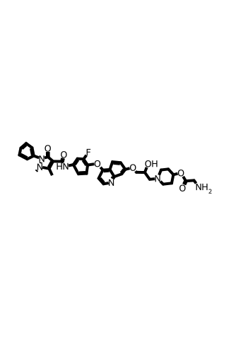 Cc1c(C(=O)Nc2ccc(Oc3ccnc4cc(OCC(O)CN5CCC(OC(=O)CN)CC5)ccc34)c(F)c2)c(=O)n(-c2ccccc2)n1C